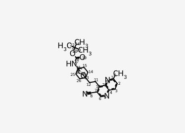 Cc1ccc2ncc(C#N)c(CCC34CCC(NC(=O)OC(C)(C)C)(CC3)CO4)c2n1